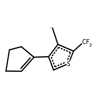 [CH2]c1c(C2=CCCC2)csc1C(F)(F)F